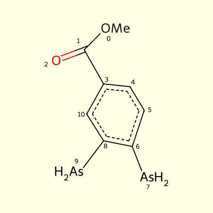 COC(=O)c1ccc([AsH2])c([AsH2])c1